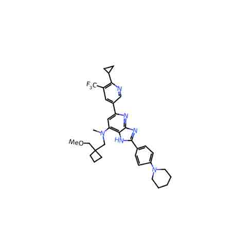 COCC1(CN(C)c2cc(-c3cnc(C4CC4)c(C(F)(F)F)c3)nc3nc(-c4ccc(N5CCCCC5)cc4)[nH]c23)CCC1